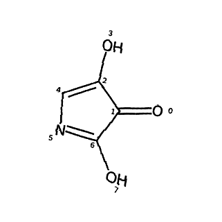 O=C1C(O)=CN=C1O